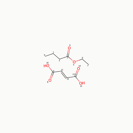 CCCC(=O)OCC.O=C(O)/C=C/C(=O)O